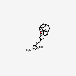 N[C@H]1C[C@@H](N)[C@H](OCc2cn(CC(=O)c3cc4ccc3CCc3ccc(cc3)CC4)nn2)C1